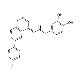 Oc1ccc(CNC=C2C=NCc3ccc(-c4ccc(Cl)cc4)cc32)cc1O